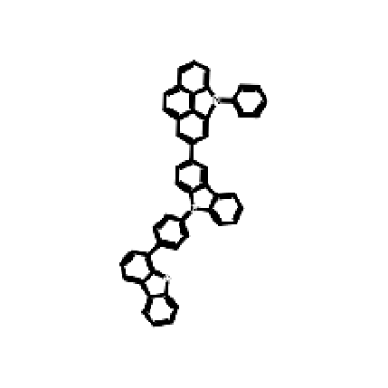 c1ccc(-n2c3cccc4ccc5cc(-c6ccc7c(c6)c6ccccc6n7-c6ccc(-c7cccc8c7oc7ccccc78)cc6)cc2c5c43)cc1